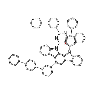 c1ccc(-c2ccc(-c3cccc(-c4cc5c6ccccc6n(-c6ccc(-c7ccccc7)cc6)c5c5c4c4ccccc4n5-c4nc(-c5ccccc5)nc(-c5cccc(-c6ccccc6)c5)n4)c3)cc2)cc1